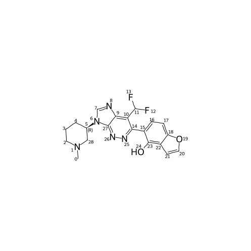 CN1CCC[C@@H](n2cnc3c(C(F)F)c(-c4ccc5occc5c4O)nnc32)C1